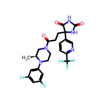 C[C@H]1CN(C(=O)CCC2(c3ccc(C(F)(F)F)nc3)NC(=O)NC2=O)CCN1c1cc(F)cc(F)c1